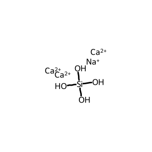 O[Si](O)(O)O.[Ca+2].[Ca+2].[Ca+2].[Na+]